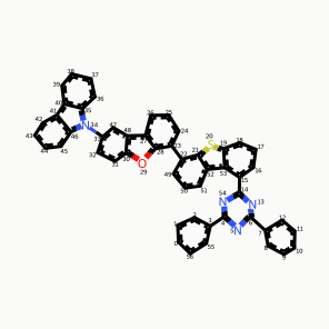 c1ccc(-c2nc(-c3ccccc3)nc(-c3cccc4sc5c(-c6cccc7c6oc6ccc(-n8c9ccccc9c9ccccc98)cc67)cccc5c34)n2)cc1